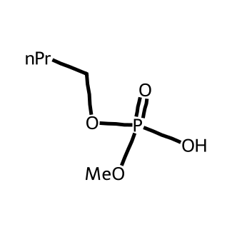 CCCCOP(=O)(O)OC